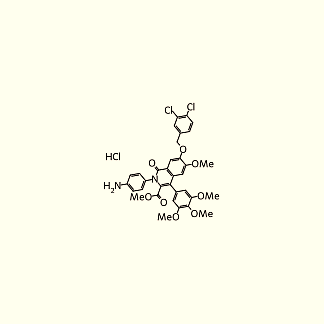 COC(=O)c1c(-c2cc(OC)c(OC)c(OC)c2)c2cc(OC)c(OCc3ccc(Cl)c(Cl)c3)cc2c(=O)n1-c1ccc(N)cc1.Cl